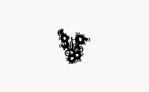 CCN(Nc1ccc(OC)cc1)C(=O)C(NC(=O)c1cccc(C)c1)c1cccc2ccccc12